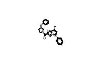 O=C(c1nc2n(n1)[C@H](c1ccccc1)C[C@@H]2F)N1CCC(Oc2ccccc2)C1